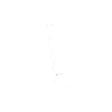 CCCCCCOC(=O)CCCOCCOCCCC